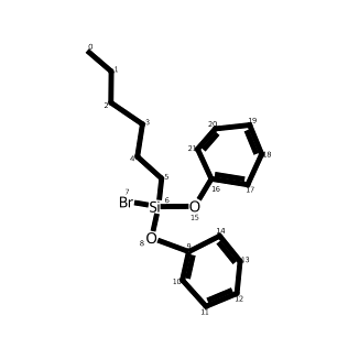 CCCCCC[Si](Br)(Oc1ccccc1)Oc1ccccc1